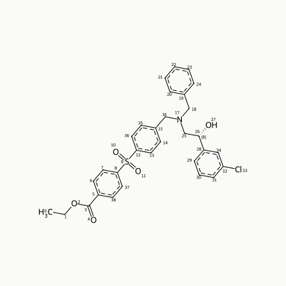 CCOC(=O)c1ccc(S(=O)(=O)c2ccc(CN(Cc3ccccc3)C[C@H](O)c3cccc(Cl)c3)cc2)cc1